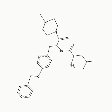 CC(C)CC(N)C(=O)NC(Cc1ccc(OCc2ccccc2)cc1)C(=O)N1CCN(C)CC1